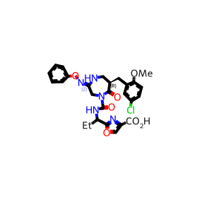 CCC(NC(=O)N1C/C(=N/Oc2ccccc2)NC[C@@H](Cc2cc(Cl)ccc2OC)C1=O)c1nc(C(=O)O)co1